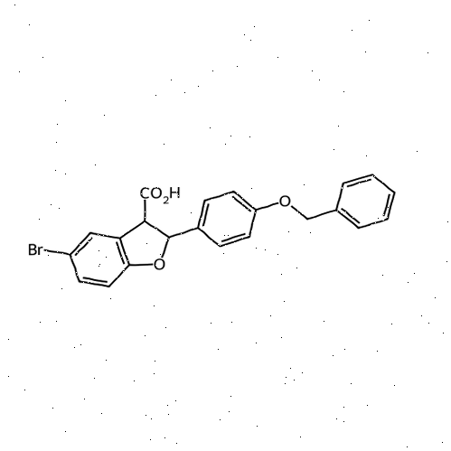 O=C(O)C1c2cc(Br)ccc2OC1c1ccc(OCc2ccccc2)cc1